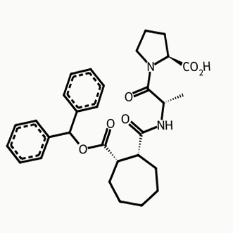 C[C@H](NC(=O)[C@@H]1CCCCC[C@@H]1C(=O)OC(c1ccccc1)c1ccccc1)C(=O)N1CCC[C@H]1C(=O)O